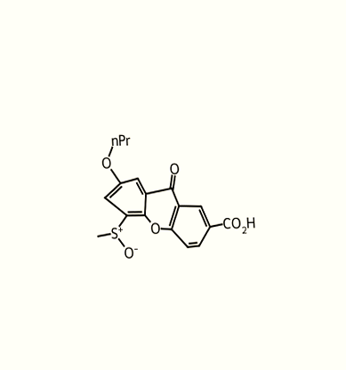 CCCOc1cc([S+](C)[O-])c2oc3ccc(C(=O)O)cc3c(=O)c2c1